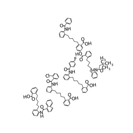 CC(C)(C)CC(=O)Nc1ccccc1CCCCCc1ccccc1C(=O)O.O=C(Nc1ccccc1CCCCCc1ccccc1C(=O)O)c1ccc(F)cc1.O=C(Nc1ccccc1CCCCCc1ccccc1C(=O)O)c1ccccc1.O=C(Nc1ccccc1CCCCCc1ccccc1C(=O)O)c1ccccc1Cl.O=C(O)c1ccccc1CCCCCc1ccccc1NC(=O)c1cccc2ccccc12